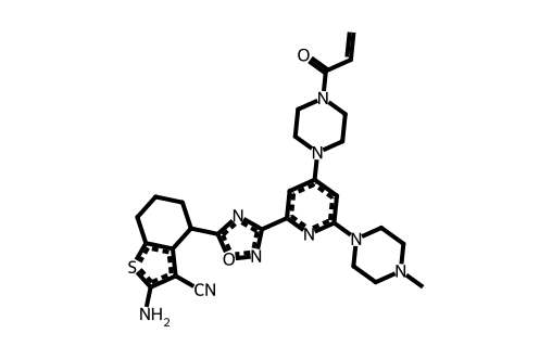 C=CC(=O)N1CCN(c2cc(-c3noc(C4CCCc5sc(N)c(C#N)c54)n3)nc(N3CCN(C)CC3)c2)CC1